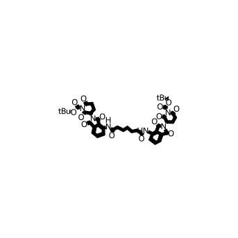 CC(C)(C)OC(=O)N1C(=O)CCC(N2C(=O)c3cccc(NC(=O)CCCCCC(=O)Nc4cccc5c4C(=O)N(C4CCC(=O)N(C(=O)OC(C)(C)C)C4=O)C5=O)c3C2=O)C1=O